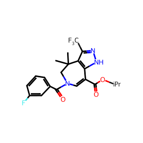 CC(C)OC(=O)C1=CN(C(=O)c2cccc(F)c2)CC(C)(C)c2c(C(F)(F)F)n[nH]c21